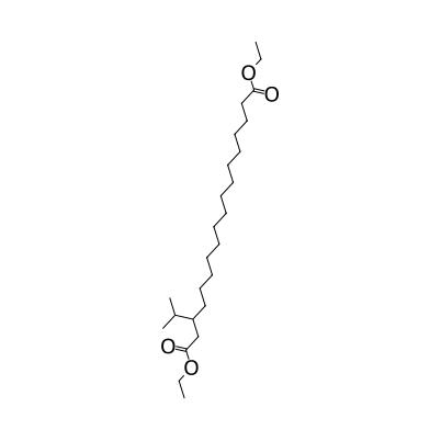 CCOC(=O)CCCCCCCCCCCCCCC(CC(=O)OCC)C(C)C